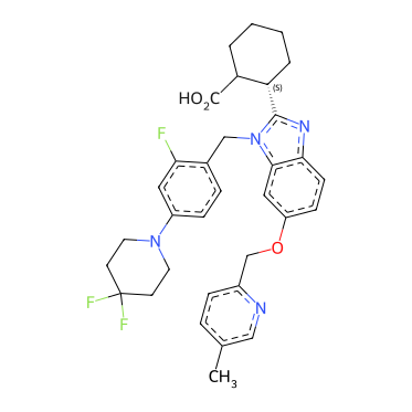 Cc1ccc(COc2ccc3nc([C@H]4CCCCC4C(=O)O)n(Cc4ccc(N5CCC(F)(F)CC5)cc4F)c3c2)nc1